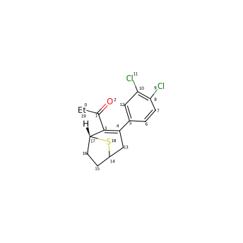 CCC(=O)C1=C(c2ccc(Cl)c(Cl)c2)CC2CC[C@H]1S2